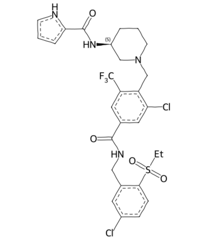 CCS(=O)(=O)c1ccc(Cl)cc1CNC(=O)c1cc(Cl)c(CN2CCC[C@H](NC(=O)c3ccc[nH]3)C2)c(C(F)(F)F)c1